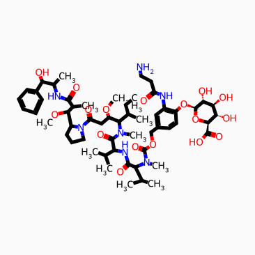 CCC(C)C(C(CC(=O)N1CCCC1C(OC)C(C)C(=O)NC(C)C(O)c1ccccc1)OC)N(C)C(=O)C(NC(=O)C(C(C)C)N(C)C(=O)OCc1ccc(O[C@@H]2O[C@H](C(=O)O)[C@@H](O)[C@H](O)[C@H]2O)c(NC(=O)CCN)c1)C(C)C